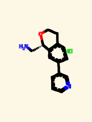 Cl.NC[C@@H]1OCCc2ccc(-c3cccnc3)cc21